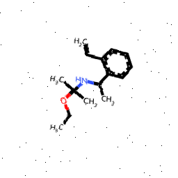 C=Cc1ccccc1C(C)NC(C)(C)OCC